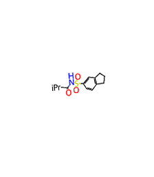 CC(C)C(=O)NS(=O)(=O)c1ccc2c(c1)CCC2